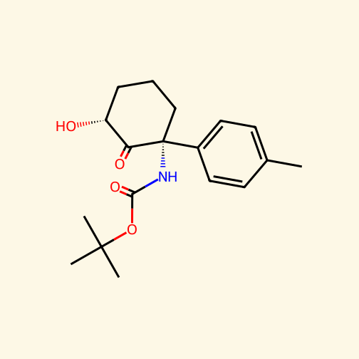 Cc1ccc([C@]2(NC(=O)OC(C)(C)C)CCC[C@@H](O)C2=O)cc1